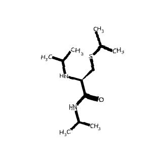 CC(C)NC(=O)[C@H](CSC(C)C)NC(C)C